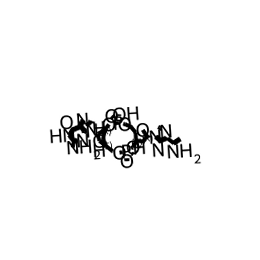 C=Nc1c(C(=C)N)ncn1[C@H]1C[C@@H]2OP(C)(=O)OC[C@@H]3C[C@@H](OP(=O)(O)OCC2O1)C(n1cnc2c(=O)[nH]c(N)nc21)O3